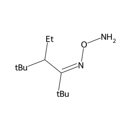 CCC(/C(=N\ON)C(C)(C)C)C(C)(C)C